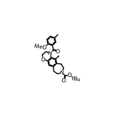 COc1ccc(C)cc1C(=O)N1CCOc2cc3c(c(C)c21)CCN(C(=O)OC(C)(C)C)CC3